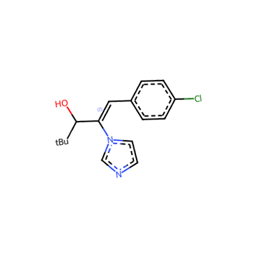 CC(C)(C)C(O)/C(=C/c1ccc(Cl)cc1)n1ccnc1